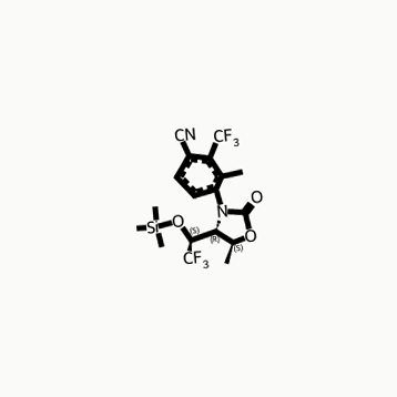 Cc1c(N2C(=O)O[C@@H](C)[C@@H]2[C@H](O[Si](C)(C)C)C(F)(F)F)ccc(C#N)c1C(F)(F)F